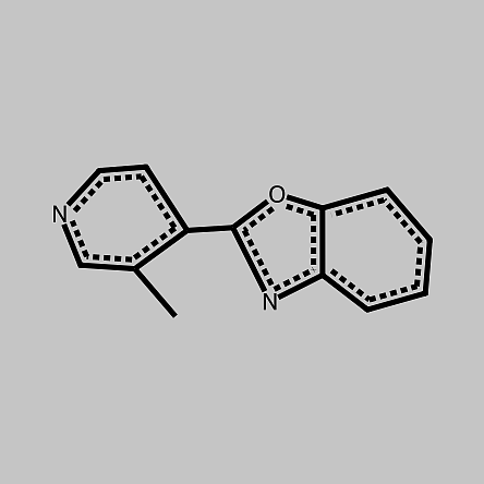 Cc1cnccc1-c1nc2ccccc2o1